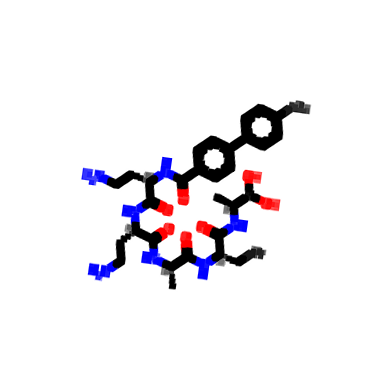 CCCCc1ccc(-c2ccc(C(=O)N[C@@H](CCN)C(=O)N[C@@H](CCN)C(=O)N[C@@H](C)C(=O)N[C@@H](CC(C)C)C(=O)N[C@@H](C)B(O)O)cc2)cc1